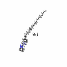 CCCCCCCCCCCCCCCCCCCCCCCCC#Cc1ccc(/N=C(C)/C=N/c2ccccc2)cc1.[Pd]